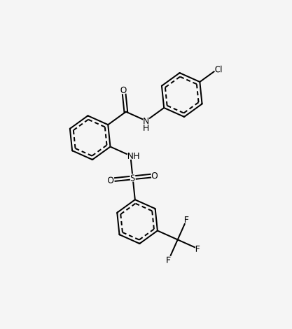 O=C(Nc1ccc(Cl)cc1)c1ccccc1NS(=O)(=O)c1cccc(C(F)(F)F)c1